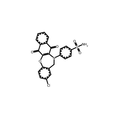 NS(=O)(=O)c1ccc(N2Cc3cc(Cl)ccc3OC3=C2C(=O)c2ccccc2C3=O)cc1